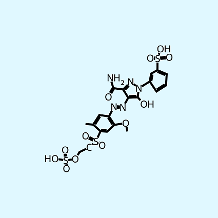 COc1cc(S(=O)(=O)CCOS(=O)(=O)O)c(C)cc1/N=N/c1c(C(N)=O)nn(-c2cccc(S(=O)(=O)O)c2)c1O